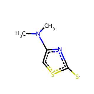 CN(C)c1csc([S])n1